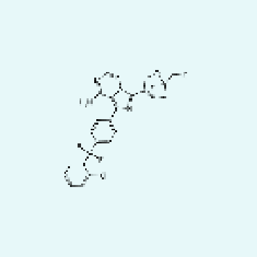 Nc1nccn2c(C3=C4CC(CO)(C4)OC3)nc(-c3ccc(C(F)(F)c4ccccc4Cl)cc3)c12